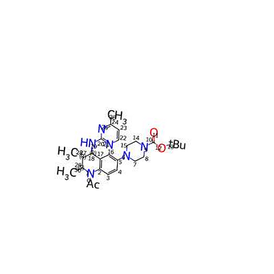 CC(=O)N1c2ccc(N3CCN(C(=O)OC(C)(C)C)CC3)cc2[C@H](Nc2nccc(C)n2)[C@@H](C)[C@@H]1C